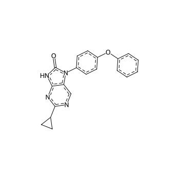 O=c1[nH]c2nc(C3CC3)ncc2n1-c1ccc(Oc2ccccc2)cc1